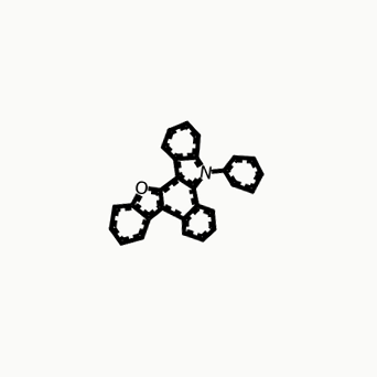 c1ccc(-n2c3ccccc3c3c4oc5ccccc5c4c4ccccc4c32)cc1